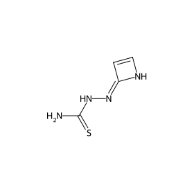 NC(=S)NN=C1C=CN1